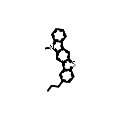 CCCc1ccc2sc3cc4c5ccccc5n(C)c4cc3c2c1